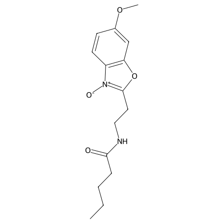 CCCCC(=O)NCCc1oc2cc(OC)ccc2[n+]1[O-]